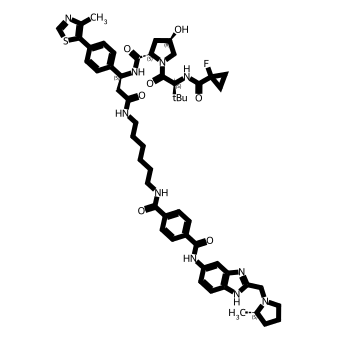 Cc1ncsc1-c1ccc([C@H](CC(=O)NCCCCCCNC(=O)c2ccc(C(=O)Nc3ccc4[nH]c(CN5CCC[C@@H]5C)nc4c3)cc2)NC(=O)[C@@H]2C[C@@H](O)CN2C(=O)[C@@H](NC(=O)C2(F)CC2)C(C)(C)C)cc1